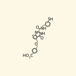 O=C(O)c1ccc(COCc2csc3nc(C(=O)NCc4cccc(S)c4)[nH]c(=O)c23)cc1